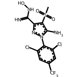 CS(=O)(=O)c1c(C(=N)NO)nn(-c2c(Cl)cc(C(F)(F)F)cc2Cl)c1N